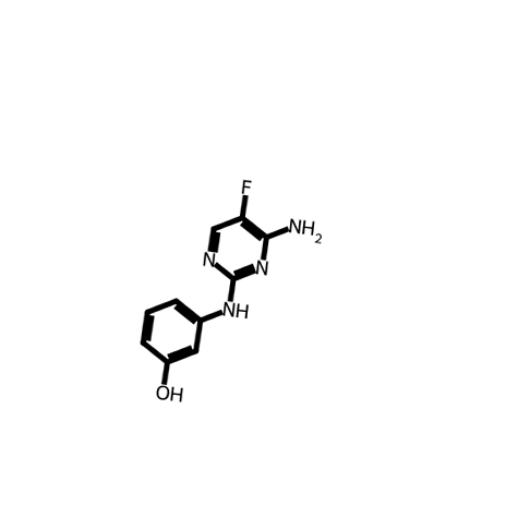 Nc1nc(Nc2cccc(O)c2)ncc1F